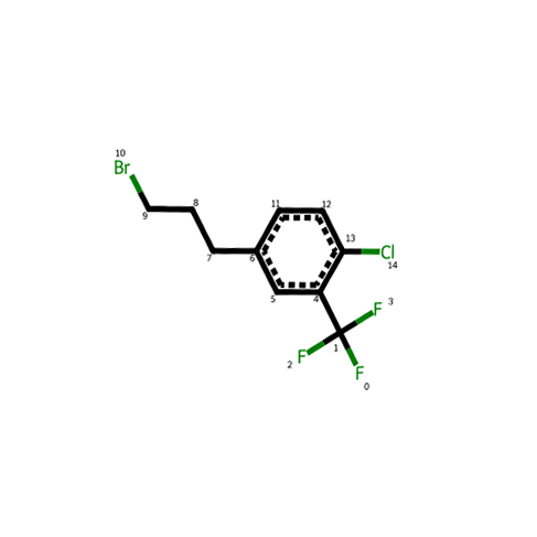 FC(F)(F)c1cc(CCCBr)ccc1Cl